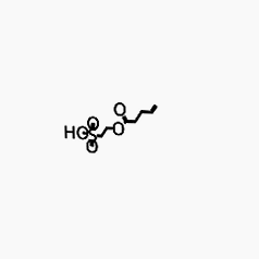 C=CCCC(=O)OCCS(=O)(=O)O